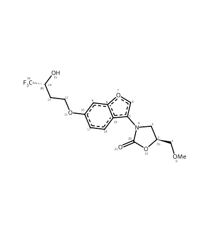 COC[C@@H]1CN(c2coc3cc(OCC[C@@H](O)C(F)(F)F)ccc23)C(=O)O1